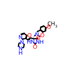 COc1ccc2c(c1)OCN(C[C@@]1(c3cc4c(N5CCNCC5)nccc4o3)NC(=O)NC1=O)C2